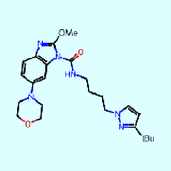 COc1nc2ccc(N3CCOCC3)cc2n1C(=O)NCCCCn1ccc(C(C)(C)C)n1